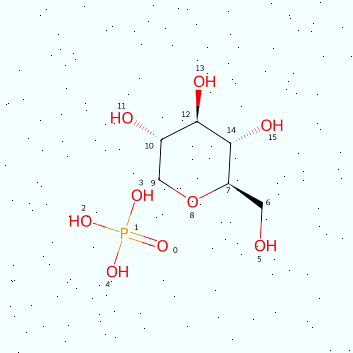 O=P(O)(O)O.OC[C@H]1OC[C@H](O)[C@@H](O)[C@@H]1O